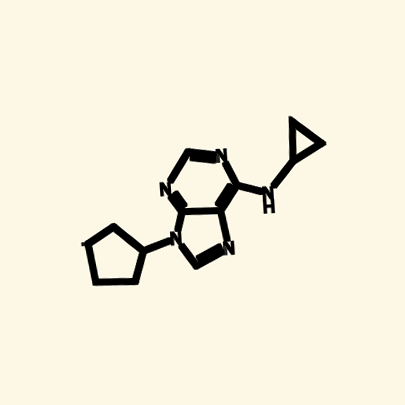 [CH]1CCC(n2cnc3c(NC4CC4)ncnc32)C1